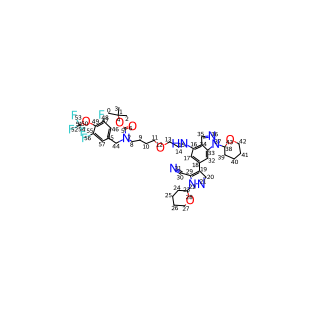 CC(C)(C)OC(=O)N(CCCCOCCNc1cc(-c2cnn(C3CCCCO3)c2C#N)cc2c1cnn2C1CCCCO1)Cc1cc(F)c(OC(F)(F)F)c(F)c1